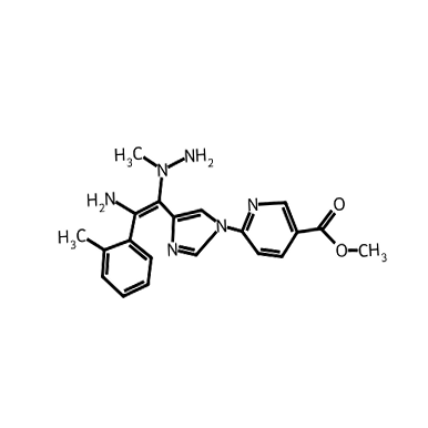 COC(=O)c1ccc(-n2cnc(/C(=C(/N)c3ccccc3C)N(C)N)c2)nc1